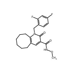 CONC(=O)c1cc2c(n(Cc3ccc(F)cc3F)c1=O)CCCCCC2